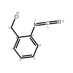 O=C=Nc1ccccc1CCl